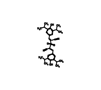 CC(C)c1cc(C=C(C#N)S(=O)(=O)C(C#N)=Cc2cc(C(C)C)c(O)c(C(C)C)c2)cc(C(C)C)c1O